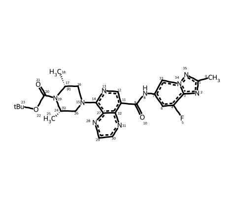 Cc1nc2c(F)cc(NC(=O)c3cnc(N4C[C@@H](C)N(C(=O)OC(C)(C)C)[C@@H](C)C4)c4nccnc34)cn2n1